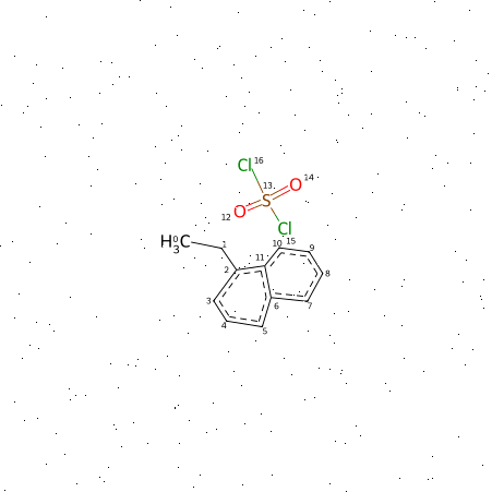 CCc1cccc2ccccc12.O=S(=O)(Cl)Cl